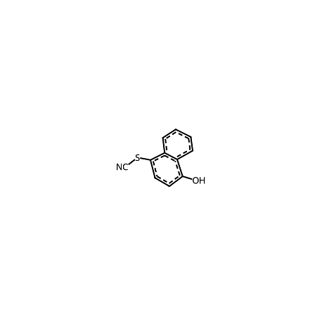 N#CSc1ccc(O)c2ccccc12